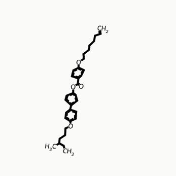 C=CCCCCCCOc1ccc(C(=O)Oc2ccc(-c3ccc(OCCCC(C)CC)cc3)cc2)cc1